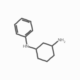 NC1CCCC(Nc2ccccc2)C1